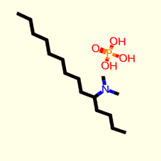 CCCCCCCCCC(CCCC)N(C)C.O=P(O)(O)O